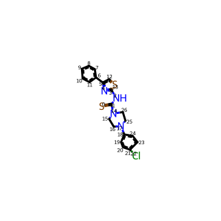 S=C(Nc1nc(-c2ccccc2)cs1)N1CCN(c2ccc(Cl)cc2)CC1